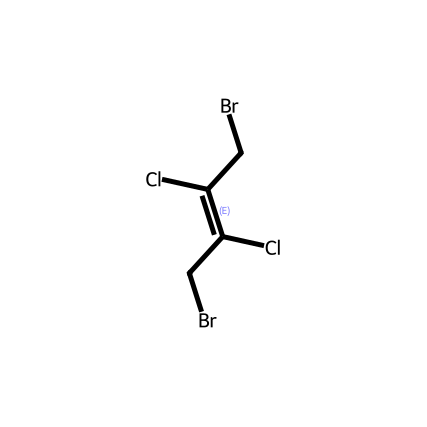 Cl/C(CBr)=C(/Cl)CBr